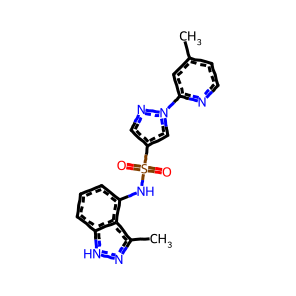 Cc1ccnc(-n2cc(S(=O)(=O)Nc3cccc4[nH]nc(C)c34)cn2)c1